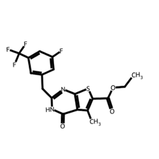 CCOC(=O)c1sc2nc(Cc3cc(F)cc(C(F)(F)F)c3)[nH]c(=O)c2c1C